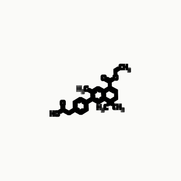 CCOC(=O)C1=CCC(C)(C)c2cc(-c3ccc(CC(=O)O)cc3)c(C)cc21